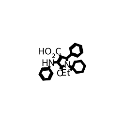 CCC1(N2C(=O)C(Nc3ccccc3)=C(C(=O)O)C2c2ccccc2)CCCCC1